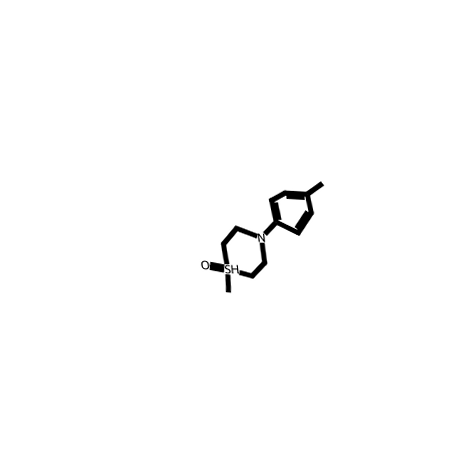 Cc1ccc(N2CC[SH](C)(=O)CC2)cc1